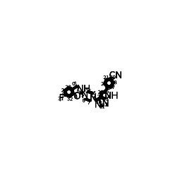 C[C@H](NC(=O)N1CCN(c2ncnc3[nH]c(-c4ccc(C#N)cc4)cc23)CC1)c1ccc(F)cc1